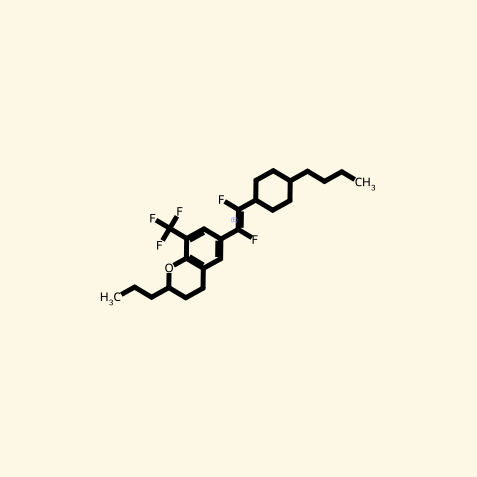 CCCCC1CCC(/C(F)=C(\F)c2cc3c(c(C(F)(F)F)c2)OC(CCC)CC3)CC1